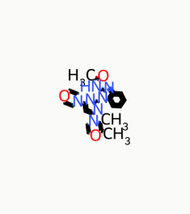 CC(=O)Nc1nc2ccccc2n1-c1nc(N2CCOCC2)cc(N2CCOC(C)C2C)n1